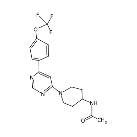 CC(=O)NC1CCN(c2cc(-c3ccc(OC(F)(F)F)cc3)ncn2)CC1